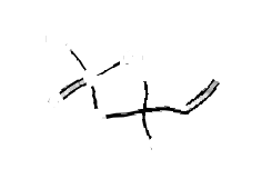 C=CC(Cl)(Cl)OP(=O)(O)O